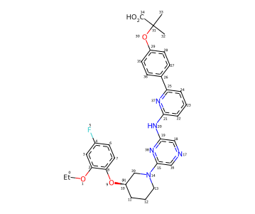 CCOc1cc(F)ccc1O[C@@H]1CCCN(c2cncc(Nc3cccc(-c4ccc(OC(C)(C)C(=O)O)cc4)n3)n2)C1